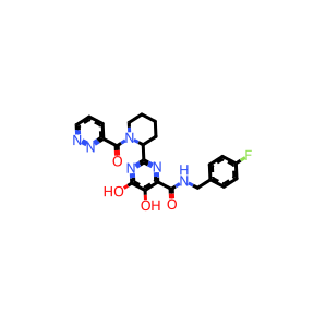 O=C(NCc1ccc(F)cc1)c1nc(C2CCCCN2C(=O)c2cccnn2)nc(O)c1O